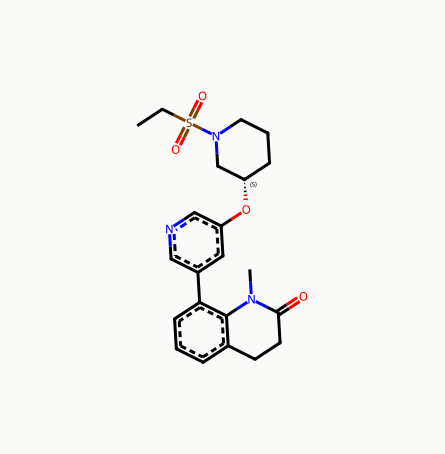 CCS(=O)(=O)N1CCC[C@H](Oc2cncc(-c3cccc4c3N(C)C(=O)CC4)c2)C1